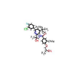 COc1cc(C(=O)NCC(O)(c2cc(C(C)(C)NC(C)=O)cc(-c3ccc(F)c(Cl)c3)n2)C(F)(F)F)ccc1OC[C@@H](C)O